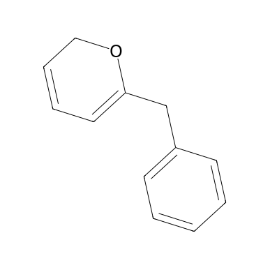 C1=CCOC(Cc2ccccc2)=C1